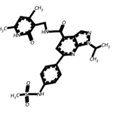 Cc1cc(C)c(CNC(=O)c2cc(-c3ccc(NS(C)(=O)=O)cc3)nc3c2cnn3C(C)C)c(=O)[nH]1